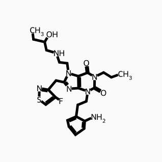 CCCn1c(=O)c2c(nc(Cc3nscc3F)n2CCNCC(O)CC)n(CCc2ccccc2N)c1=O